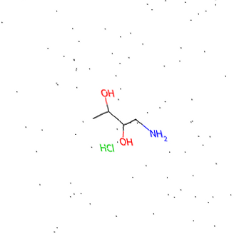 CC(O)C(O)CN.Cl